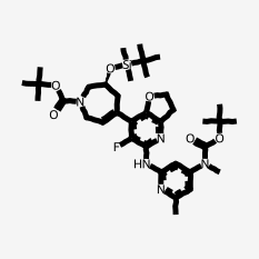 Cc1cc(N(C)C(=O)OC(C)(C)C)cc(Nc2nc3c(c(C4=CCN(C(=O)OC(C)(C)C)C[C@@H](O[Si](C)(C)C(C)(C)C)C4)c2F)OCC3)n1